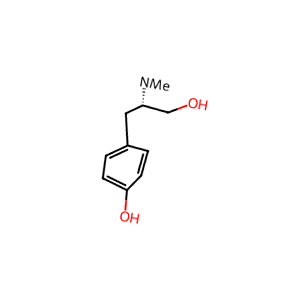 CN[C@H](CO)Cc1ccc(O)cc1